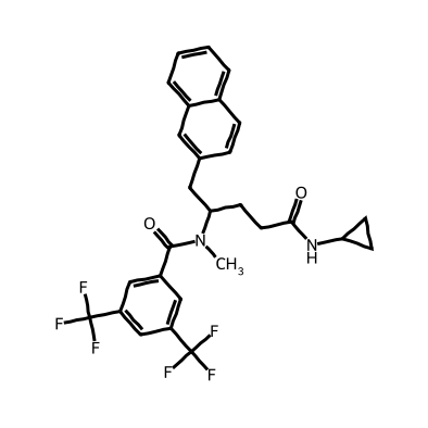 CN(C(=O)c1cc(C(F)(F)F)cc(C(F)(F)F)c1)C(CCC(=O)NC1CC1)Cc1ccc2ccccc2c1